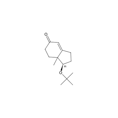 CC(C)(C)O[C@@H]1CCC2=CC(=O)CCC21C